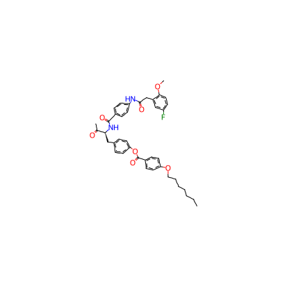 CCCCCCCOc1ccc(C(=O)Oc2ccc(C[C@H](NC(=O)c3ccc(NC(=O)Cc4cc(F)ccc4OC)cc3)C(C)=O)cc2)cc1